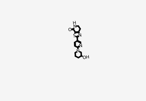 O=C1NCCc2nc(-c3ccc(N4CCCC(O)C4)nc3)sc21